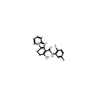 O=C(Nc1cc(F)ccc1F)C1=C(O)CCc2c1nc1ccccn21